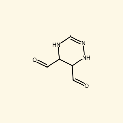 O=CC1N[C]=NNC1C=O